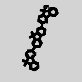 CC1(C)c2cc(-c3ccc4c(n3)-c3ccccc3C4(C)C)ccc2-c2ccc(-c3ccc4c(n3)-c3ccccc3C4(C)C(F)(F)F)cc21